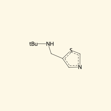 CC(C)(C)NCc1cncs1